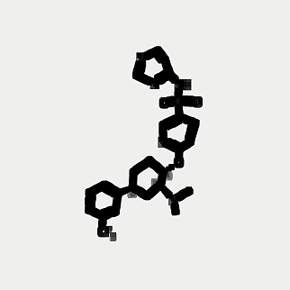 CN(C)[C@H]1C[C@@H](c2cccc(C(F)(F)F)c2)CC[C@@H]1Oc1ccc(S(=O)(=O)Nc2ccncn2)cn1